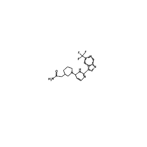 NC(=O)CC1CCCN(C2C=CN=C(c3cnc4cnc(C(F)(F)F)cn34)N2)C1